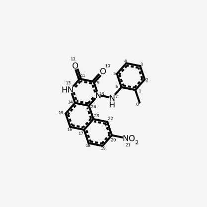 Cc1ccccc1Nn1c(=O)c(=O)[nH]c2ccc3ccc([N+](=O)[O-])cc3c21